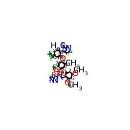 COc1ccc(CN(c2nncs2)S(=O)(=O)c2cc(C)c(O[C@H]3CC(F)(F)CC[C@@H]3c3ccnn3C)cc2F)c(OC)c1